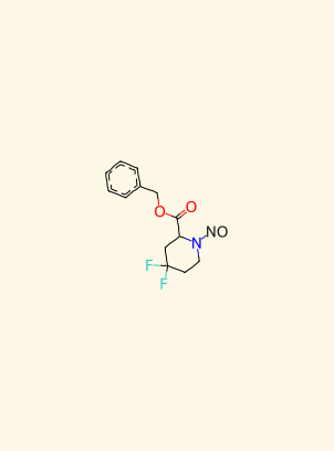 O=NN1CCC(F)(F)CC1C(=O)OCc1ccccc1